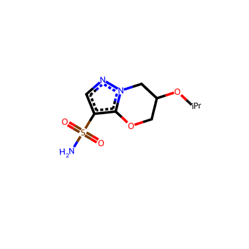 CC(C)OC1COc2c(S(N)(=O)=O)cnn2C1